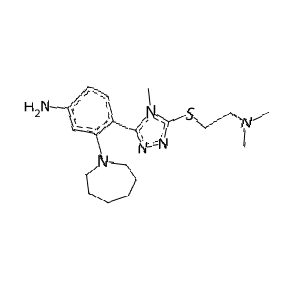 CN(C)CCSc1nnc(-c2ccc(N)cc2N2CCCCCC2)n1C